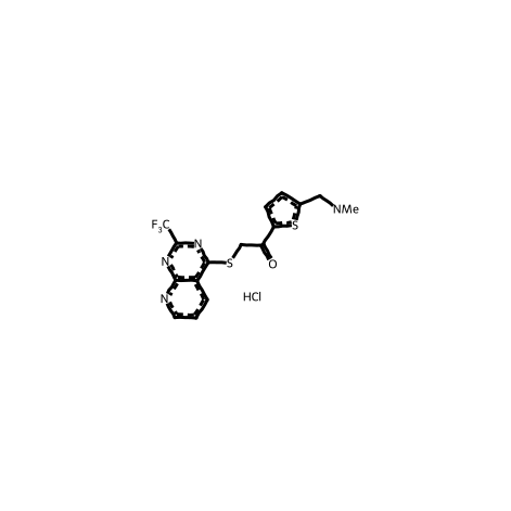 CNCc1ccc(C(=O)CSc2nc(C(F)(F)F)nc3ncccc23)s1.Cl